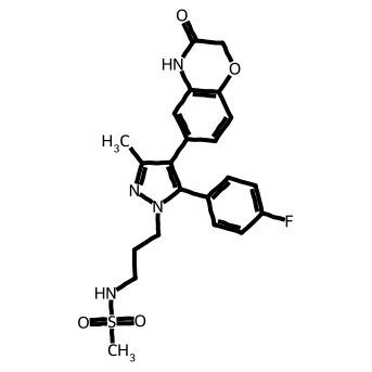 Cc1nn(CCCNS(C)(=O)=O)c(-c2ccc(F)cc2)c1-c1ccc2c(c1)NC(=O)CO2